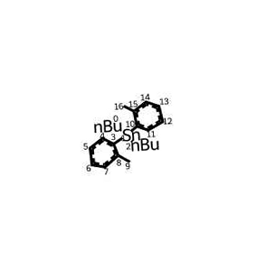 CCC[CH2][Sn]([CH2]CCC)([c]1ccccc1C)[c]1ccccc1C